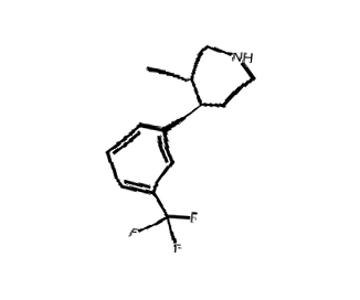 C[C@H]1CNCC[C@H]1c1cccc(C(F)(F)F)c1